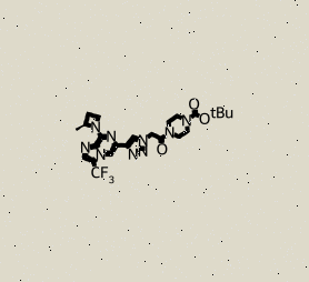 C[C@H]1CCN1c1nc(-c2cn(CC(=O)N3CCN(C(=O)OC(C)(C)C)CC3)nn2)cn2c(C(F)(F)F)cnc12